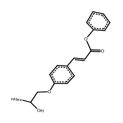 CCCCCCC(O)COc1ccc(C=CC(=O)Oc2ccccc2)cc1